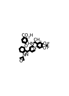 C[C@H](Nc1cc(-c2nn(C3COC3)c3c2[C@@H](Oc2ccc(C(=O)O)cc2)CCC3)ccn1)c1ccc2c(c1)OC(F)(F)O2